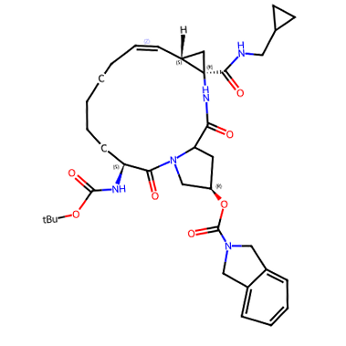 CC(C)(C)OC(=O)N[C@H]1CCCCC/C=C\[C@@H]2C[C@@]2(C(=O)NCC2CC2)NC(=O)C2C[C@@H](OC(=O)N3Cc4ccccc4C3)CN2C1=O